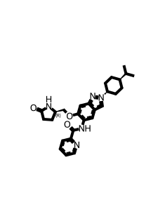 CC(C)[C@H]1CC[C@H](n2cc3cc(NC(=O)c4ccccn4)c(OC[C@H]4CCC(=O)N4)cc3n2)CC1